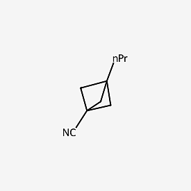 CCCC12CC(C#N)(C1)C2